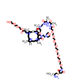 CCC1=C(C)c2cc3[nH]c(cc4nc(c5c6[nH]c(cc1n2)c(C)c6C(=O)N(CCN1CCOCC1)C5=O)[C@@H](CCC(=O)N(C)CCNC(=O)[C@H](C)NC(=O)[C@H](C)NC(=O)CCOCCOCCOCCOCCOCCOCCOCCOCCN1C(=O)CC(SC[C@@H](N)C(=O)O)C1=O)[C@@H]4C)c(C)c3/C=C/C(=O)OCCOCCOCCO